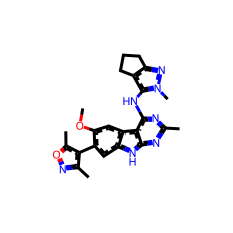 COc1cc2c(cc1-c1c(C)noc1C)[nH]c1nc(C)nc(Nc3c4c(nn3C)CCC4)c12